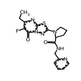 CCc1nc2sc(N3CCCC3C(=O)NCc3ccccn3)nn2c(=O)c1F